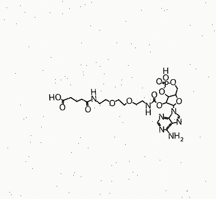 Nc1ncnc2c1ncn2C1OC2COP(=O)(O)OC2C1OC(=O)NCCOCCOCCNC(=O)CCCC(=O)O